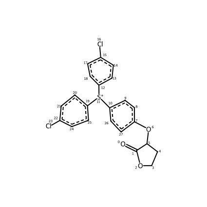 O=C1OCCC1Oc1ccc([S+](c2ccc(Cl)cc2)c2ccc(Cl)cc2)cc1